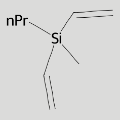 C=C[Si](C)(C=C)CCC